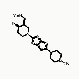 CN/C=C1/CN(c2nc3sc(C4CCB(C#N)CC4)cc3s2)CCC1=N